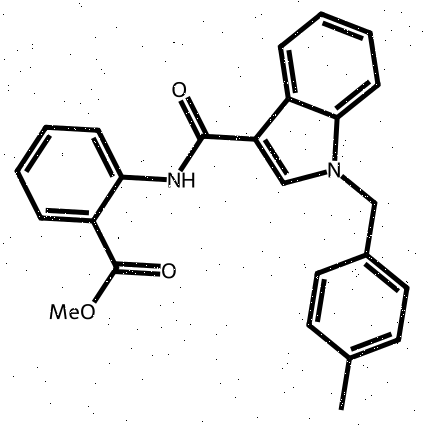 COC(=O)c1ccccc1NC(=O)c1cn(Cc2ccc(C)cc2)c2ccccc12